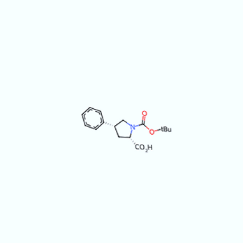 CC(C)(C)OC(=O)N1C[C@@H](c2ccccc2)C[C@H]1C(=O)O